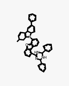 CC1C=CC2=C(C1)N(c1cccc3c1oc1cccc(C4=NC(c5ccccc5)NC(c5ccccc5)N4)c13)C1C=CC(c3ccccc3)=CC21